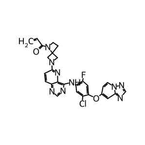 C=CC(=O)N1CCC12CN(c1ccc3ncnc(Nc4cc(Cl)c(Oc5ccn6ncnc6c5)cc4F)c3n1)C2